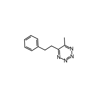 Cc1nnnnc1CCc1ccccc1